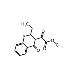 CCC1Sc2ccccc2C(=O)C1C(=O)C(=O)OC